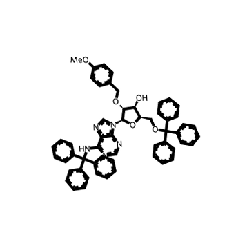 COc1ccc(CO[C@@H]2[C@@H](O)[C@@H](COC(c3ccccc3)(c3ccccc3)c3ccccc3)O[C@H]2n2cnc3c(NC(c4ccccc4)(c4ccccc4)c4ccccc4)ncnc32)cc1